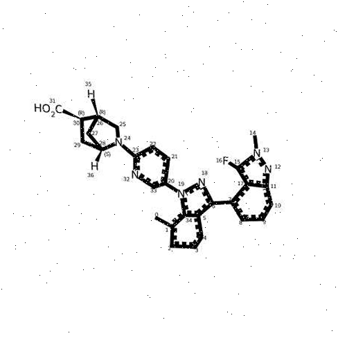 Cc1cccc2c(-c3cccc4nn(C)c(F)c34)nn(-c3ccc(N4C[C@@H]5C[C@H]4C[C@H]5C(=O)O)nc3)c12